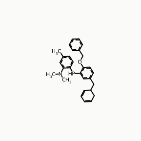 Cc1ccc(Pc2cc(CC3C=CC=CC3)ccc2OCc2ccccc2)c(N(C)C)c1